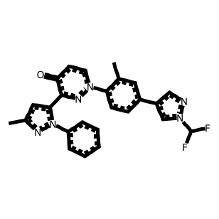 Cc1cc(-c2nn(-c3ccc(-c4cnn(C(F)F)c4)cc3C)ccc2=O)n(-c2ccccc2)n1